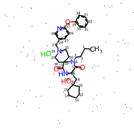 CCCCN1C(=O)[C@@H](CC2(O)CCCCC2)NC(=O)C12CCN(Cc1ccc(Oc3ccccc3)nc1)CC2.Cl